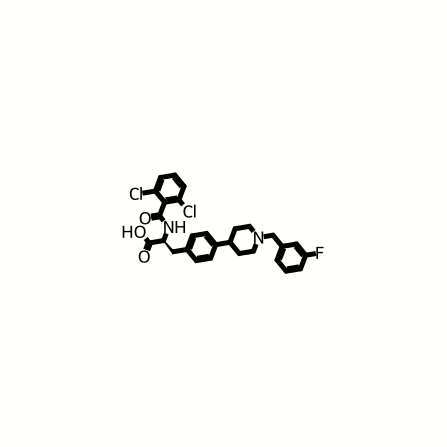 O=C(N[C@@H](Cc1ccc(C2CCN(Cc3cccc(F)c3)CC2)cc1)C(=O)O)c1c(Cl)cccc1Cl